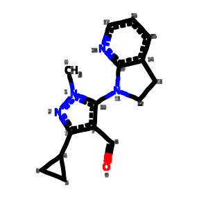 Cn1nc(C2CC2)c(C=O)c1N1CCc2cccnc21